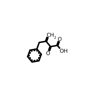 C=C(Cc1ccccc1)C(=O)C(=O)O